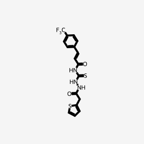 O=C(C=Cc1ccc(C(F)(F)F)cc1)NC(=S)NNC(=O)Cc1cccs1